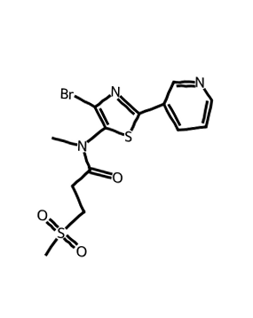 CN(C(=O)CCS(C)(=O)=O)c1sc(-c2cccnc2)nc1Br